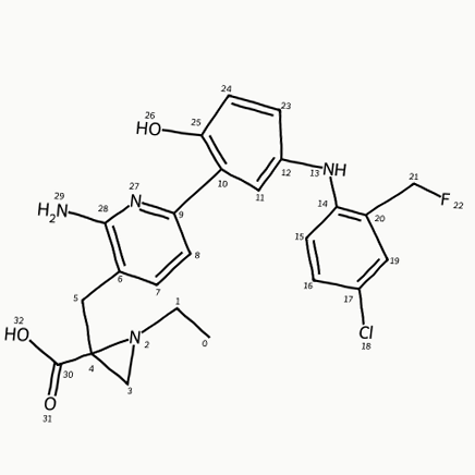 CCN1CC1(Cc1ccc(-c2cc(Nc3ccc(Cl)cc3CF)ccc2O)nc1N)C(=O)O